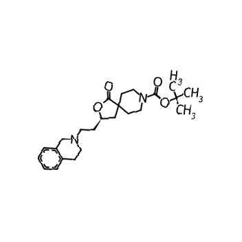 CC(C)(C)OC(=O)N1CCC2(CC1)C[C@@H](CCN1CCc3ccccc3C1)OC2=O